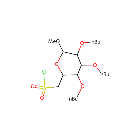 CCCCOC1C(CS(=O)(=O)Cl)OC(OC)C(OCCCC)C1OCCCC